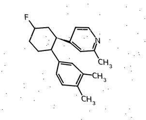 Cc1cc([C@@H]2CC(F)CCC2c2ccc(C)c(C)c2)ccn1